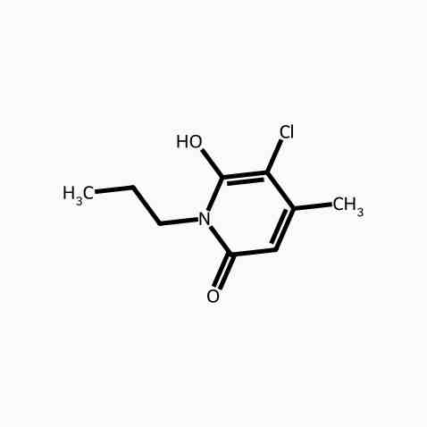 CCCn1c(O)c(Cl)c(C)cc1=O